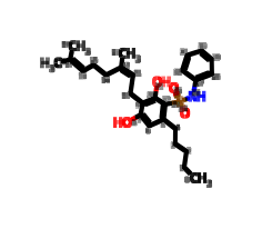 CCCCCc1cc(O)c(CC=C(C)CCC=C(C)C)c(O)c1S(=O)(=O)Nc1ccccc1